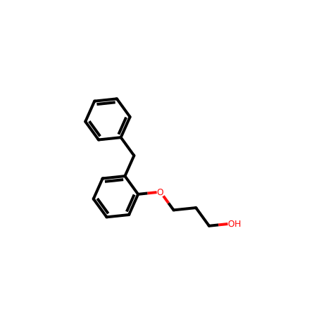 OCCCOc1ccccc1Cc1ccccc1